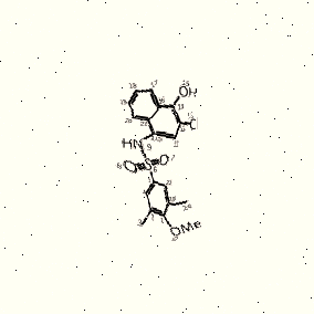 COc1c(C)cc(S(=O)(=O)Nc2cc(Cl)c(O)c3ccccc23)cc1C